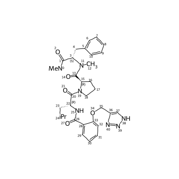 CNC(=O)[C@H](Cc1ccccc1)N(C)C(=O)[C@H]1CCCN1C(=O)[C@@H](CC(C)C)NC(=O)c1ccccc1OCc1c[nH]nn1